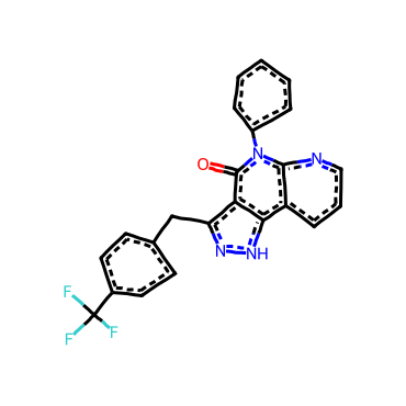 O=c1c2c(Cc3ccc(C(F)(F)F)cc3)n[nH]c2c2cccnc2n1-c1ccccc1